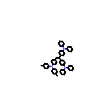 Cc1ccc(N(c2ccc(C)cc2)c2ccc(C=C(c3ccc(N(c4ccccc4)c4ccccc4)cc3)c3ccc(N(c4ccccc4)c4ccccc4)cc3)cc2)cc1